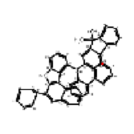 CC1(C)c2ccccc2-c2ccc(N(c3ccccc3-c3ccccc3)c3cccc4oc5c(-c6ccccc6)cc6ccccc6c5c34)cc21